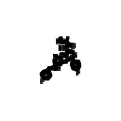 CN[C@@H](C)C(=O)Nc1cnc(-c2ccc(F)cc2)n(Cc2cncc(NCc3ccc(F)cc3)c2)c1=O